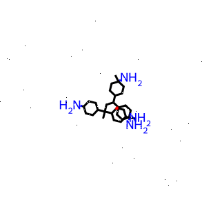 CC1(N)CCC(C(CC(C)(C2CCC(N)CC2)C2CCC(N)CC2)C2CCC(C)(N)CC2)CC1